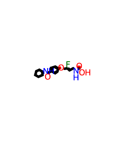 O=C(O)NC/C=C(\F)COc1ccc(C(=O)NC2CCCCC2)cc1